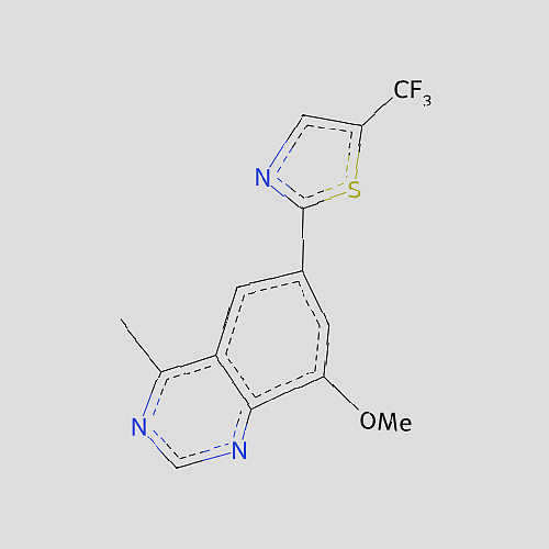 COc1cc(-c2ncc(C(F)(F)F)s2)cc2c(C)ncnc12